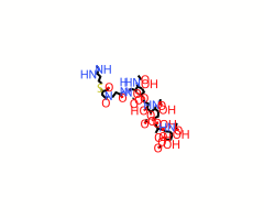 CNC(=N)CCCSC1CC(=O)N(CCC(=O)N/N=C/C2OC(OC=O)(OCCC(O)C3OC(OC=O)(OCC(CO)C(O)C4OC(O)(OC=O)CC(O)C4NC(C)=O)CC(O)C3NC(C)=O)CC(O)C2NC(C)=O)C1=O